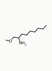 CCCCCCCC(N)COC